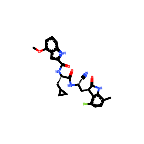 COc1cccc2[nH]c(C(=O)N[C@@H](CC3CC3)C(=O)N[C@H](C#N)C[C@H]3C(=O)Nc4c(C)ccc(F)c43)cc12